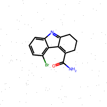 NC(=O)C1=C2C(=Nc3cccc(Br)c32)CCC1